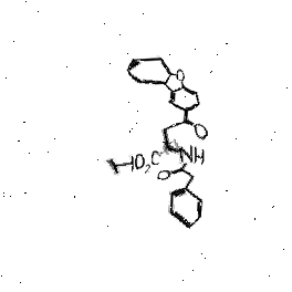 O=C(Cc1ccccc1)N[C@@H](CC(=O)c1ccc2oc3ccccc3c2c1)C(=O)O